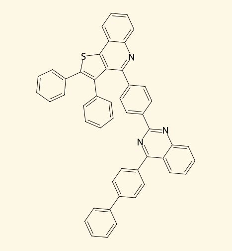 c1ccc(-c2ccc(-c3nc(-c4ccc(-c5nc6ccccc6c6sc(-c7ccccc7)c(-c7ccccc7)c56)cc4)nc4ccccc34)cc2)cc1